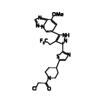 COc1cc(-c2[nH]nc(-c3ncc(C4CCN(C(=O)CCl)CC4)s3)c2CC(F)(F)F)cn2ncnc12